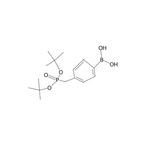 CC(C)(C)OP(=O)(Cc1ccc(B(O)O)cc1)OC(C)(C)C